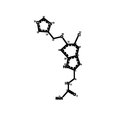 CNC(=O)NCc1cc2cc(Cl)c(OCc3cocn3)cc2[nH]1